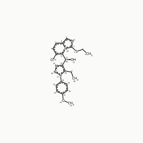 CCSc1ncc2ccc(Cl)c([C@@H](O)c3nnn(-c4ccc(OC)cc4)c3CC)n12